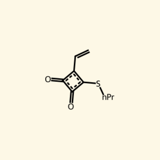 C=Cc1c(SCCC)c(=O)c1=O